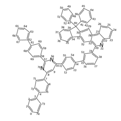 c1ccc(-c2ccc(-c3cc(-c4ccc(-c5cccc(-c6nc7ccccc7c7cc8c(cc67)-c6ccccc6C8(c6ccccc6)c6ccccc6)c5)cc4)nc(-c4ccc(-c5ccccc5)cc4)n3)cc2)cc1